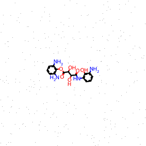 Nc1cccc(NC(=O)C(O)C(O)C(=O)Oc2c(N)cccc2N)c1O